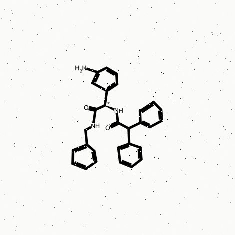 Nc1cccc([C@@H](NC(=O)C(c2ccccc2)c2ccccc2)C(=O)NCc2ccccc2)c1